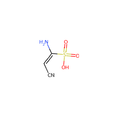 N#CC=C(N)S(=O)(=O)O